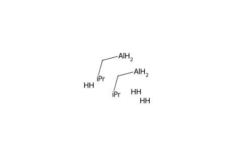 CC(C)[CH2][AlH2].CC(C)[CH2][AlH2].[HH].[HH].[HH]